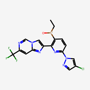 CC[S+]([O-])c1ccc(-n2cc(Cl)cn2)nc1-c1cn2cnc(C(F)(F)F)cc2n1